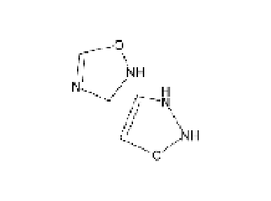 C1=CONN1.C1=NCNO1